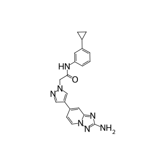 Nc1nc2cc(-c3cnn(CC(=O)Nc4cccc(C5CC5)c4)c3)ccn2n1